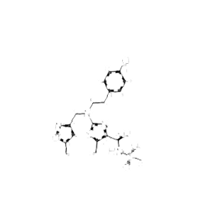 Cc1cc(CN(CCc2ccc(Cl)cc2)c2nc(C(=O)NS(C)(=O)=O)c(C)s2)no1